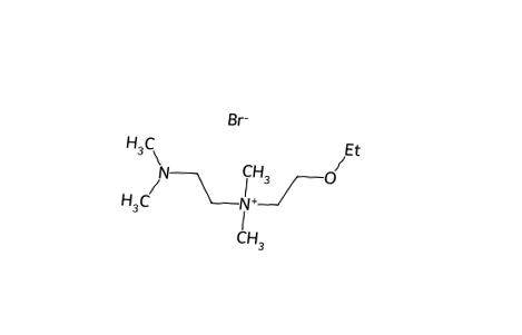 CCOCC[N+](C)(C)CCN(C)C.[Br-]